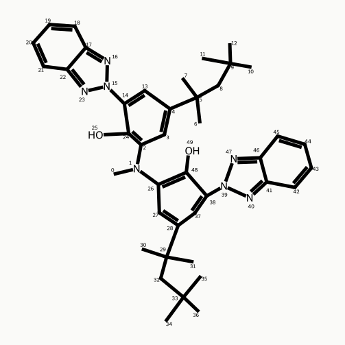 CN(c1cc(C(C)(C)CC(C)(C)C)cc(-n2nc3ccccc3n2)c1O)c1cc(C(C)(C)CC(C)(C)C)cc(-n2nc3ccccc3n2)c1O